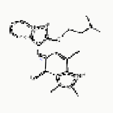 CC1=C/C(=N\c2c(OCCN(C)C)nn3ccccc23)C(=N)c2c1[nH]c(C)c2C